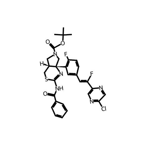 CC(C)(C)OC(=O)N1C[C@H]2CSC(NC(=O)c3ccccc3)=N[C@@]2(c2cc(/C=C(\F)c3cnc(Cl)cn3)ccc2F)C1